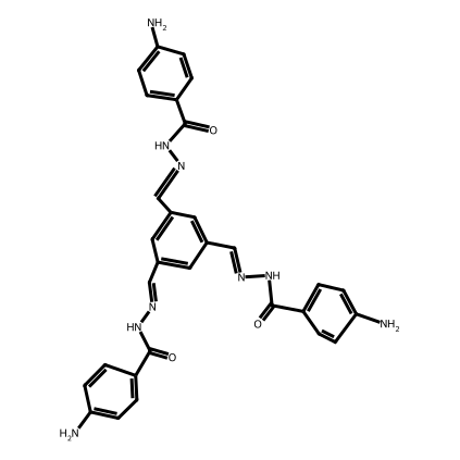 Nc1ccc(C(=O)N/N=C/c2cc(/C=N/NC(=O)c3ccc(N)cc3)cc(/C=N/NC(=O)c3ccc(N)cc3)c2)cc1